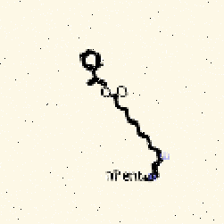 CCCCC/C=C\C/C=C\CCCCCCCC(=O)OCC(C)c1ccccc1